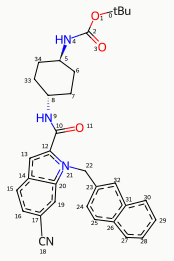 CC(C)(C)OC(=O)N[C@H]1CC[C@H](NC(=O)c2cc3ccc(C#N)cc3n2Cc2ccc3ccccc3c2)CC1